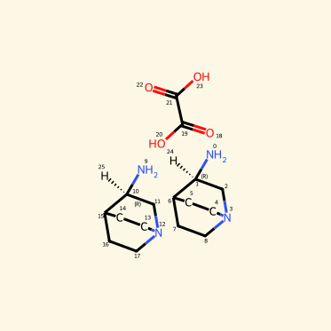 N[C@H]1CN2CCC1CC2.N[C@H]1CN2CCC1CC2.O=C(O)C(=O)O